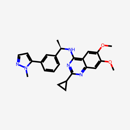 COc1cc2nc(C3CC3)nc(N[C@H](C)c3cccc(-c4ccnn4C)c3)c2cc1OC